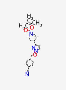 CC(C)(C)OC(=O)N1CCC(c2ccn(OCc3ccc(C#N)cc3)n2)CC1